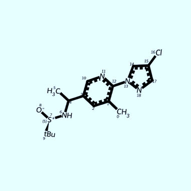 Cc1cc(C(C)N[S@+]([O-])C(C)(C)C)cnc1-n1cc(Cl)cn1